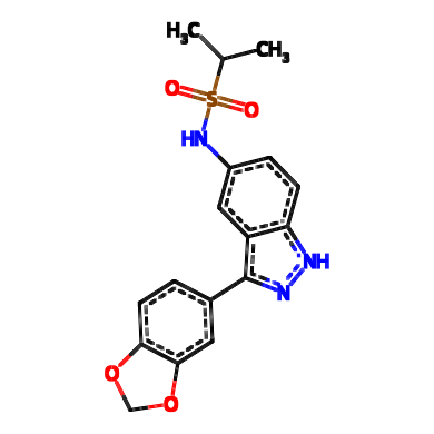 CC(C)S(=O)(=O)Nc1ccc2[nH]nc(-c3ccc4c(c3)OCO4)c2c1